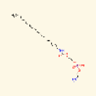 CCCCCC=CCC=CCCCCCCCNC(=O)OCCCOP(=O)(O)OCCN